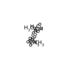 Cc1cccc(N(c2cccc(-c3cccc(-c4ccccc4C)c3)c2O)c2ccc3ccc4c(N(c5cccc(C)c5)c5cccc6c5oc5c(-c7ccccc7C)cccc56)ccc5ccc2c3c54)c1